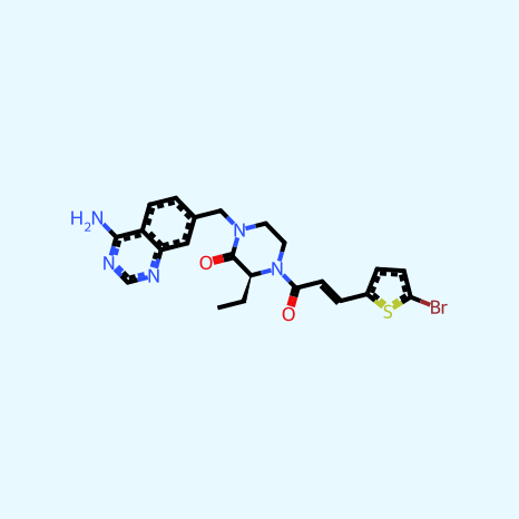 CC[C@H]1C(=O)N(Cc2ccc3c(N)ncnc3c2)CCN1C(=O)C=Cc1ccc(Br)s1